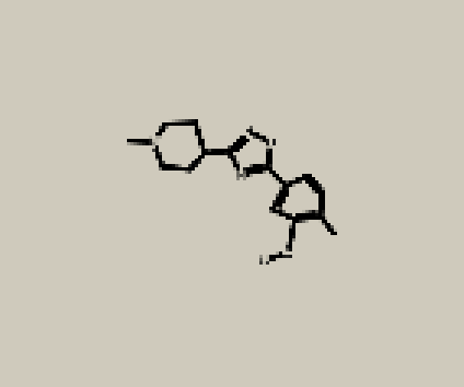 CCOc1cc(-c2nc(C3CCN(C)CC3)no2)ccc1C